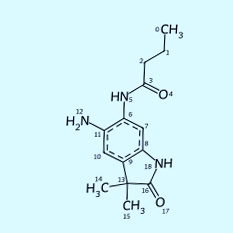 CCCC(=O)Nc1cc2c(cc1N)C(C)(C)C(=O)N2